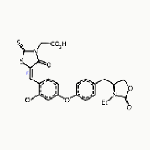 CCN1C(=O)OCC1Cc1ccc(Oc2ccc(/C=C3/SC(=S)N(CC(=O)O)C3=O)c(Cl)c2)cc1